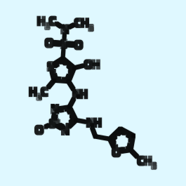 Cc1ccc(CNc2n[s+]([O-])nc2Nc2c(C)sc(S(=O)(=O)N(C)C)c2O)o1